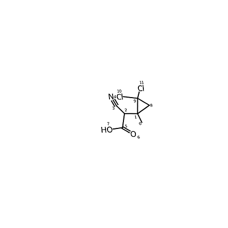 CC1(C(C#N)C(=O)O)CC1(Cl)Cl